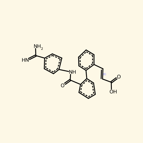 N=C(N)c1ccc(NC(=O)c2ccccc2-c2ccccc2/C=C/C(=O)O)cc1